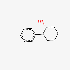 O[C@@H]1CCCCC1c1ccccc1